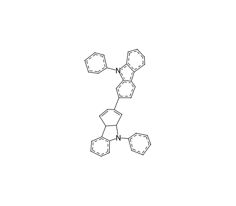 C1=CC2c3ccccc3N(c3ccccc3)C2C=C1c1ccc2c3ccccc3n(-c3ccccc3)c2c1